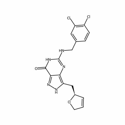 O=c1[nH]c(NCc2ccc(Cl)c(Cl)c2)nc2c(C[C@H]3C=CCO3)[nH]nc12